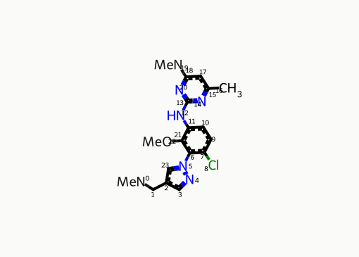 CNCc1cnn(-c2c(Cl)ccc(Nc3nc(C)cc(NC)n3)c2OC)c1